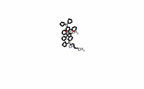 C=C(/C=C\C=C/CC)N(c1ccccc1)c1ccc2c(c1)C(c1ccccc1)(c1ccccc1)C(c1ccc(N(c3ccccc3)c3ccccc3)cc1C1(C)C=CC=CC1)=C2C